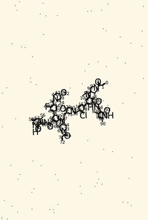 C=CC(=O)N1CCC(N(CC)c2cc(-c3ccc(CN4CCC(OC)C(CCN(c5cc(-c6ccc(CN7CCC(OC)CC7)c(F)c6)cc(C(=O)NCc6c(C)cc(C)[nH]c6=O)c5C)C5CCN(C(=O)C=C)CC5)C4)c(Cl)c3)cc(C(=O)NCc3c(C)cc(C)[nH]c3=O)c2C)CC1